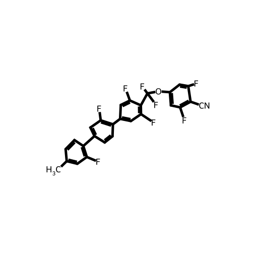 Cc1ccc(-c2ccc(-c3cc(F)c(C(F)(F)Oc4cc(F)c(C#N)c(F)c4)c(F)c3)c(F)c2)c(F)c1